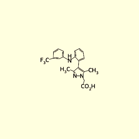 Cc1nn(CC(=O)O)c(C)c1-c1ccccc1Nc1cccc(C(F)(F)F)c1